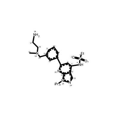 CCS(=O)(=O)Nc1cc(-c2cccc(CN(C)CCN)c2)nc2c1cnn2C(C)C